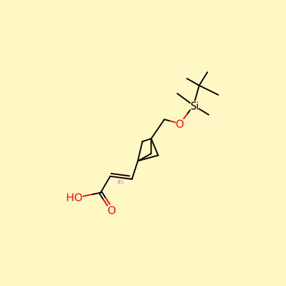 CC(C)(C)[Si](C)(C)OCC12CC(/C=C/C(=O)O)(C1)C2